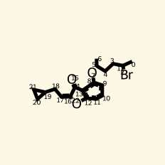 CC(Br)CCC(C)Oc1cccc2c1C(=O)C(=CCC1CC1)O2